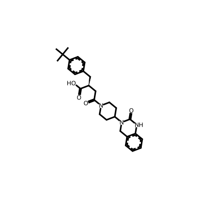 CC(C)(C)c1ccc(C[C@@H](CC(=O)N2CCC(N3Cc4ccccc4NC3=O)CC2)C(=O)O)cc1